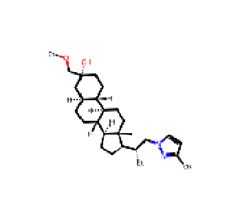 CCOC[C@@]1(O)CC[C@H]2[C@@H](CC[C@@H]3[C@@H]2CC[C@]2(C)[C@@H]([C@@H](CC)Cn4ccc(C#N)n4)CC[C@@H]32)C1